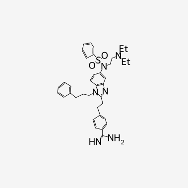 CCN(CC)CCN(c1ccc2c(c1)nc(CCc1ccc(C(=N)N)cc1)n2CCCc1ccccc1)S(=O)(=O)c1ccccc1